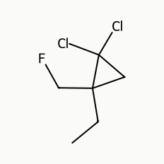 CCC1(CF)CC1(Cl)Cl